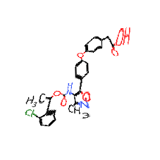 Cc1noc(-c2ccc(Oc3ccc(CC(=O)O)cc3)cc2)c1NC(=O)OC(C)c1ccccc1Cl